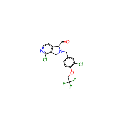 O=CC1c2ccnc(Cl)c2CN1Cc1ccc(OCC(F)(F)F)c(Cl)c1